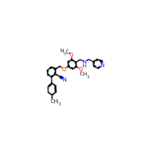 COc1cc(OCc2cccc(C3=CCC(C)C=C3)c2C#N)cc(OC)c1CNCc1ccncc1